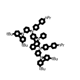 CCCc1ccc(-c2ccc(N(c3cccc(-n4c5ccc(C(C)(C)C)cc5c5cc(C(C)(C)C)ccc54)c3)c3ccc4c5c6ccccc6c(N(c6ccc(-c7ccc(CCC)cc7)cc6)c6cccc(-n7c8ccc(C(C)(C)C)cc8c8cc(C(C)(C)C)ccc87)c6)cc5n(-c5ccccc5)c4c3)cc2)cc1